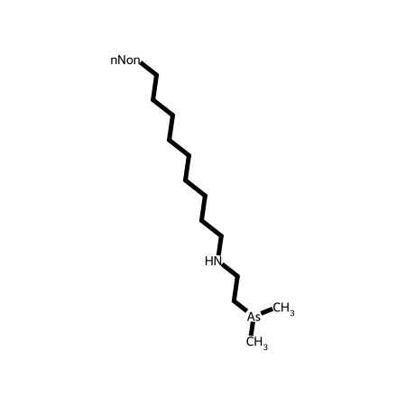 CCCCCCCCCCCCCCCCCCNCC[As](C)C